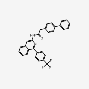 O=C(Cc1ccc(-c2ccccc2)cc1)Nc1cc2ccccc2c(-c2ccc(C(F)(F)F)cc2)n1